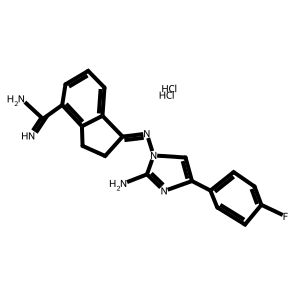 Cl.Cl.N=C(N)c1cccc2c1CCC2=Nn1cc(-c2ccc(F)cc2)nc1N